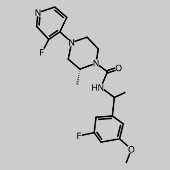 COc1cc(F)cc(C(C)NC(=O)N2CCN(c3ccncc3F)C[C@H]2C)c1